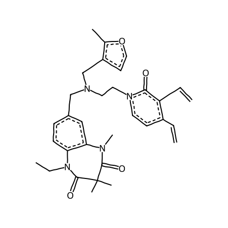 C=Cc1ccn(CCN(Cc2ccc3c(c2)N(C)C(=O)C(C)(C)C(=O)N3CC)Cc2ccoc2C)c(=O)c1C=C